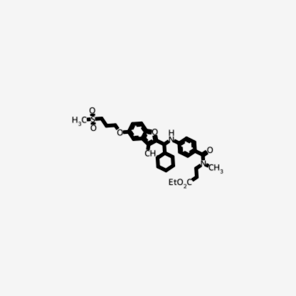 CCOC(=O)CCN(C)C(=O)c1ccc(NC(c2oc3ccc(OCCCS(C)(=O)=O)cc3c2C)C2CCCCC2)cc1